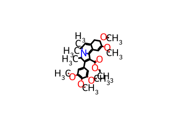 CCOC(=O)C1=C(c2cc(OC)c(OC)c(OC)c2)C(C)N2C1=C1C=C(OC)C(OC)CC1=CC2(C)C